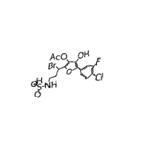 CC(=O)Oc1c(C(Br)CCN[SH](=O)=O)oc(-c2ccc(Cl)c(F)c2)c1O